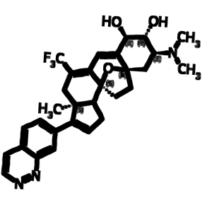 CN(C)[C@H]1C[C@@]23CC[C@@]4(O2)C(=C(C(F)(F)F)C[C@]2(C)C(c5ccc6ccnnc6c5)=CCC24)C=C3[C@@H](O)[C@@H]1O